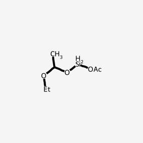 CCOC(C)O[SiH2]OC(C)=O